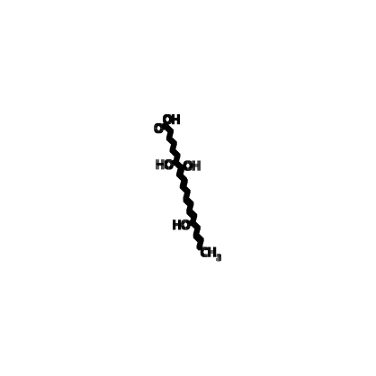 CCC=CCC(O)C=CC=CCC=CC=C(O)C(O)CCCCCC(=O)O